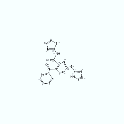 O=C(c1ccccc1)c1ccc(Sc2nnc[nH]2)nc1C(=O)Nc1nccs1